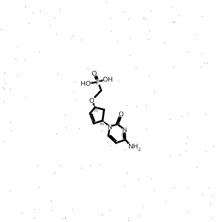 Nc1ccn([C@H]2C=C[C@@H](OCP(=O)(O)O)C2)c(=O)n1